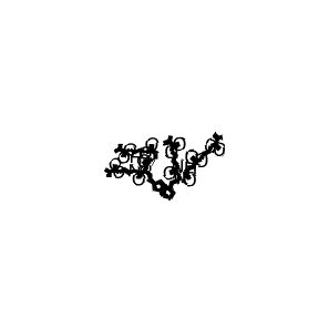 C=C(C)C(=O)OCCNC(=O)N(CCC12CCC(C1)C1CC(CCN(C(=O)NCCOC(=O)C(=C)C)C3O[C@@H]3CCC(=O)OCCOC(=O)C(=C)C)CC12)C(=O)CCC(=O)OCCOC(=O)C(=C)C